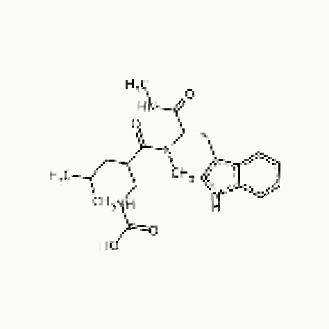 CNC(=O)[C@H](Cc1c[nH]c2ccccc12)N(C)C(=O)C(CNC(=O)O)CC(C)C